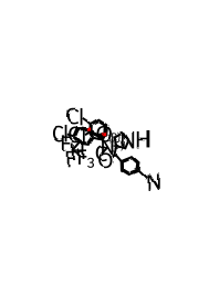 CN(C(=O)c1ccc(Cl)c(C(F)(F)F)c1)[C@]1(C(=O)c2ccc(C#N)cc2)CNC[C@H]1c1ccc(Cl)c(Cl)c1